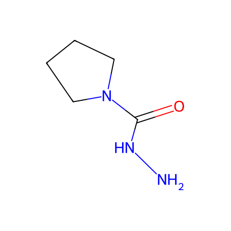 NNC(=O)N1CCCC1